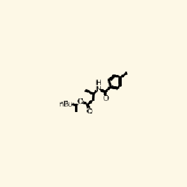 CCCCC(C)OC(=O)CC(C)NC(=O)c1ccc(C)cc1